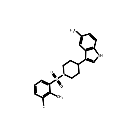 Cc1ccc2[nH]cc(C3CCN(S(=O)(=O)c4cccc(Cl)c4C)CC3)c2c1